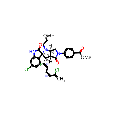 C=C(Cl)/C=C\C=C(/F)[C@H]1[C@@H]2C(=O)N(c3ccc(C(=O)OC)cc3)C[C@@H]2N(CCOC)[C@@]12C(=O)Nc1cc(Cl)ccc12